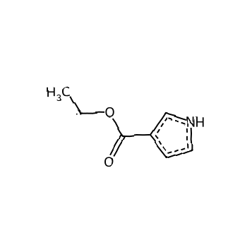 C[CH]OC(=O)c1cc[nH]c1